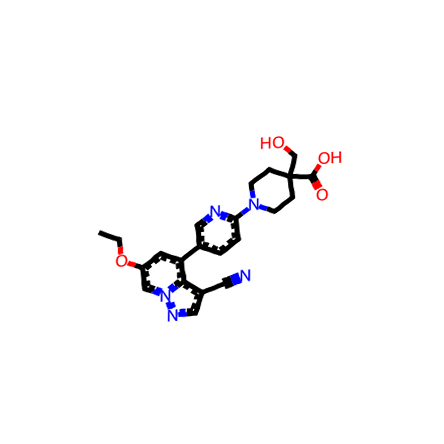 CCOc1cc(-c2ccc(N3CCC(CO)(C(=O)O)CC3)nc2)c2c(C#N)cnn2c1